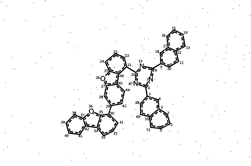 c1ccc2cc(-c3nc(-c4ccc5ccccc5c4)nc(-c4cccc5oc6cc(-c7cccc8c7oc7ccccc78)ccc6c45)n3)ccc2c1